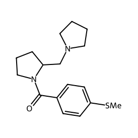 CSc1ccc(C(=O)N2CCCC2CN2CCCC2)cc1